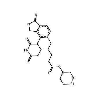 O=C1CCC(c2c(CCCCC(=O)ON3CCNCC3)ccc3c2CNC3=O)C(=O)N1